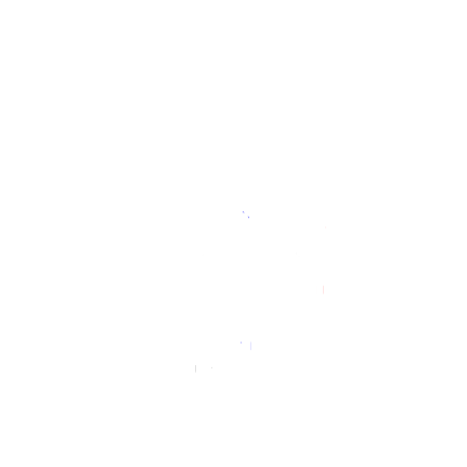 CNS(=O)(=O)c1c(C(=O)O)n(Cc2ccccc2)c2ccccc12